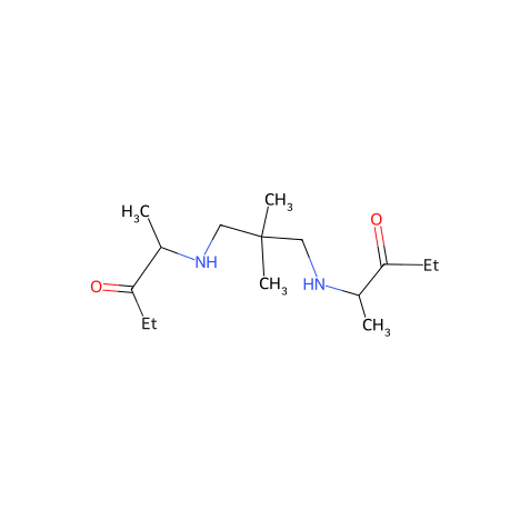 CCC(=O)C(C)NCC(C)(C)CNC(C)C(=O)CC